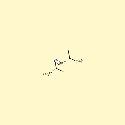 CC(=O)N[C@H](C)C(=O)O.C[C@@H](N)C(=O)O